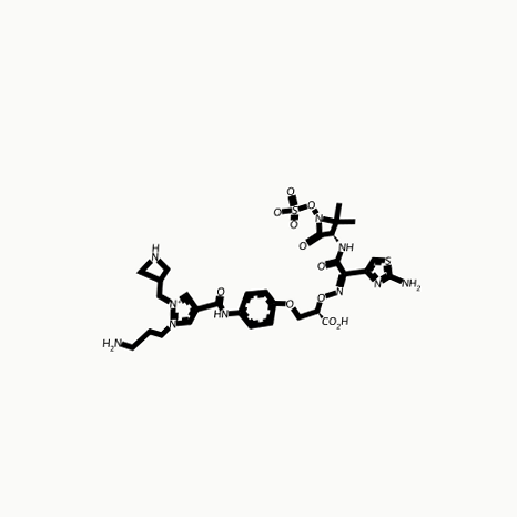 CC1(C)[C@H](NC(=O)/C(=N\O[C@@H](COc2ccc(NC(=O)c3cn(CCCN)[n+](CC4CNC4)c3)cc2)C(=O)O)c2csc(N)n2)C(=O)N1OS(=O)(=O)[O-]